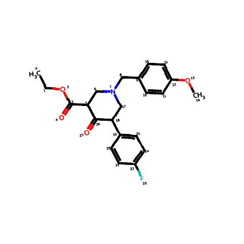 CCOC(=O)C1CN(Cc2ccc(OC)cc2)CC(c2ccc(F)cc2)C1=O